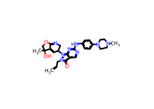 C=CCn1c(=O)c2cnc(Nc3ccc(N4CCN(C)CC4)cc3)nc2n1C1C=C2C(=NC1)OCC2(C)O